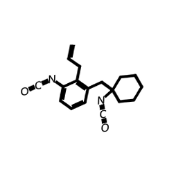 C=CCc1c(CC2(N=C=O)CCCCC2)cccc1N=C=O